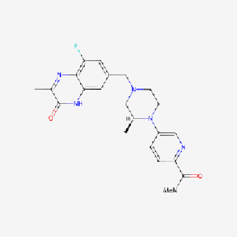 CNC(=O)c1ccc(N2CCN(Cc3cc(F)c4nc(C)c(=O)[nH]c4c3)C[C@@H]2C)cn1